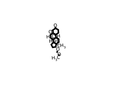 COCO[C@H]1CC[C@H]2[C@@H]3CCC45OC4C(=O)CC[C@]5(C)[C@H]3CC[C@]12C